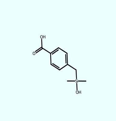 C[Si](C)(O)Cc1ccc(C(=O)O)cc1